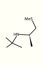 CSC[C@@H](C)NC(C)(C)C